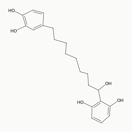 Oc1ccc(CCCCCCCCC(O)c2c(O)cccc2O)cc1O